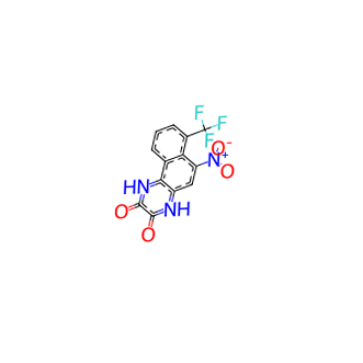 O=c1[nH]c2cc([N+](=O)[O-])c3c(C(F)(F)F)cccc3c2[nH]c1=O